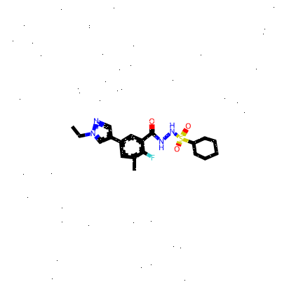 CCn1cc(-c2cc(C)c(F)c(C(=O)NNS(=O)(=O)C3CCCCC3)c2)cn1